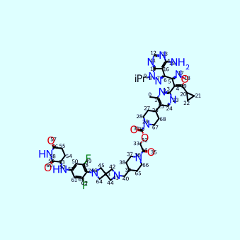 Cc1nc(-c2c(-c3nn(C(C)C)c4ncnc(N)c34)noc2C2CC2)ncc1C1CCN(C(=O)OCC(=O)N2CCC(CN3CC4(C3)CN(c3c(F)cc(NC5CCC(=O)NC5=O)cc3F)C4)CC2)CC1